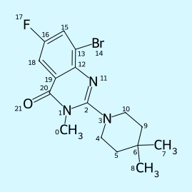 Cn1c(N2CCC(C)(C)CC2)nc2c(Br)cc(F)cc2c1=O